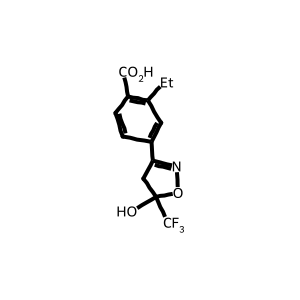 CCc1cc(C2=NOC(O)(C(F)(F)F)C2)ccc1C(=O)O